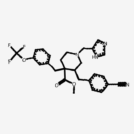 COC(=O)C1(Cc2cccc(OC(F)(F)F)c2)CCN(Cc2cnc[nH]2)CC1Cc1ccc(C#N)cc1